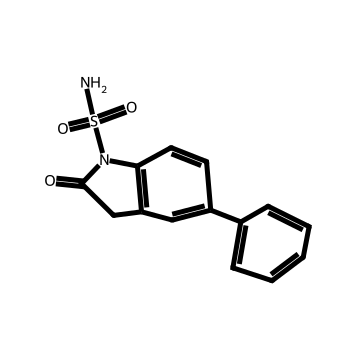 NS(=O)(=O)N1C(=O)Cc2cc(-c3ccccc3)ccc21